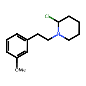 COc1cccc(CCN2CCCCC2Cl)c1